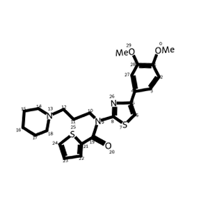 COc1ccc(-c2csc(N(CCCN3CCCCC3)C(=O)c3cccs3)n2)cc1OC